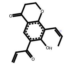 C=CC(=O)c1cc2c(c(/C=C\C)c1O)OCCC2=O